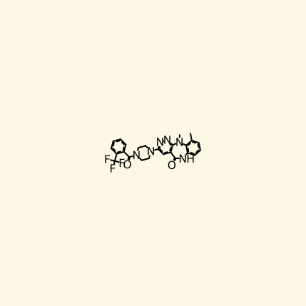 Cc1cccc2c1N(C)c1nnc(N3CCN(C(=O)c4ccccc4C(F)(F)F)CC3)cc1C(=O)N2